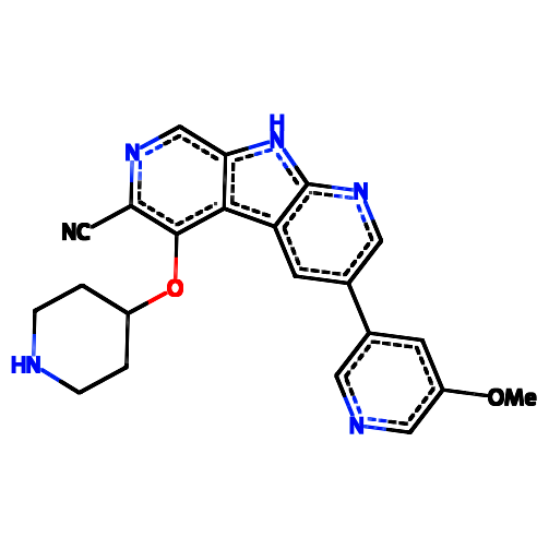 COc1cncc(-c2cnc3[nH]c4cnc(C#N)c(OC5CCNCC5)c4c3c2)c1